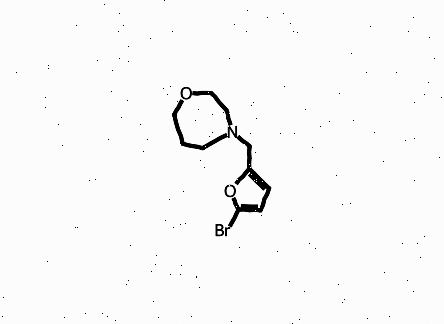 Brc1ccc(CN2CCCOCC2)o1